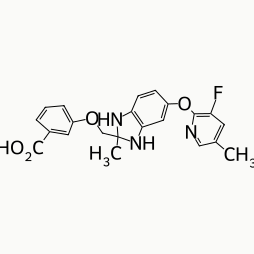 Cc1cnc(Oc2ccc3c(c2)NC(C)(COc2cccc(C(=O)O)c2)N3)c(F)c1